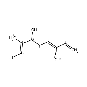 C=C/C(C)=C/CC(O)C(C)=CI